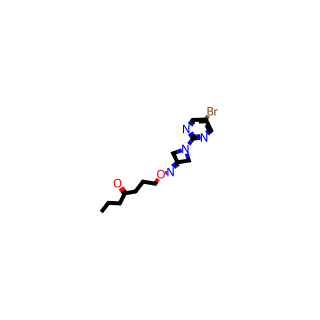 CCCC(=O)CCCON=C1CN(c2ncc(Br)cn2)C1